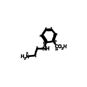 NCCNc1ccccc1C(=O)O